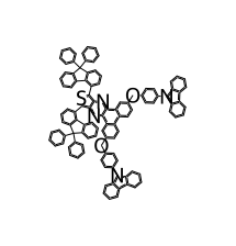 c1ccc(C2(c3ccccc3)c3ccccc3-c3c(-c4sc(-c5cccc6c5-c5ccccc5C6(c5ccccc5)c5ccccc5)c5nc6c7cc(Oc8ccc(-n9c%10ccccc%10c%10ccccc%109)cc8)ccc7c7ccc(Oc8ccc(-n9c%10ccccc%10c%10ccccc%109)cc8)cc7c6nc45)cccc32)cc1